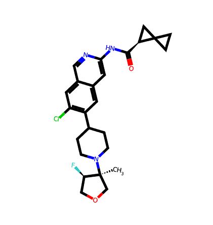 C[C@]1(N2CCC(c3cc4cc(NC(=O)[C@H]5CC56CC6)ncc4cc3Cl)CC2)COC[C@H]1F